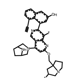 C#Cc1cccc2cc(O)cc(-c3ncc4c(N5CC6CCC(C5)N6)cc(OCC56CCCN5CC(F)C6)nc4c3F)c12